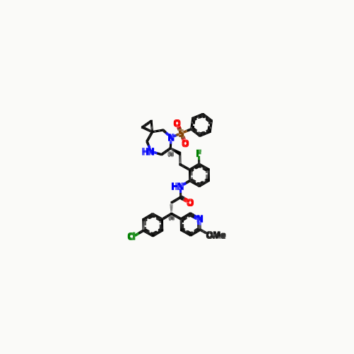 COc1ccc([C@@H](CC(=O)Nc2cccc(F)c2CC[C@H]2CNCC3(CC3)CN2S(=O)(=O)c2ccccc2)c2ccc(Cl)cc2)cn1